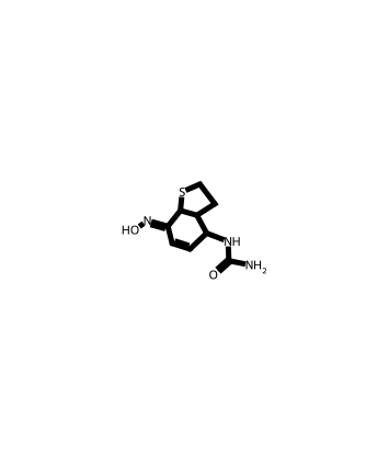 NC(=O)NC1C=CC(=NO)C2SCCC12